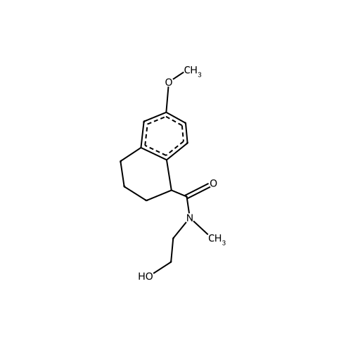 COc1ccc2c(c1)CCCC2C(=O)N(C)CCO